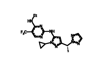 CCNc1nc(Nc2cc([C@@H](C)n3nccn3)nn2C2CC2)ncc1C(F)(F)F